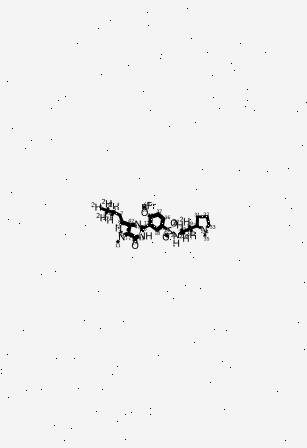 [2H]C([2H])([2H])C([2H])([2H])Cc1nn(C)c2c(=O)[nH]c(-c3cc(S(=O)(=O)NC([2H])([2H])C([2H])([2H])C4CCCN4C)ccc3OCCC)nc12